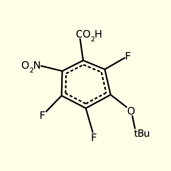 CC(C)(C)Oc1c(F)c(F)c([N+](=O)[O-])c(C(=O)O)c1F